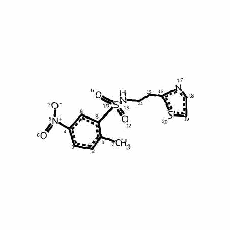 Cc1ccc([N+](=O)[O-])cc1S(=O)(=O)NCCc1nccs1